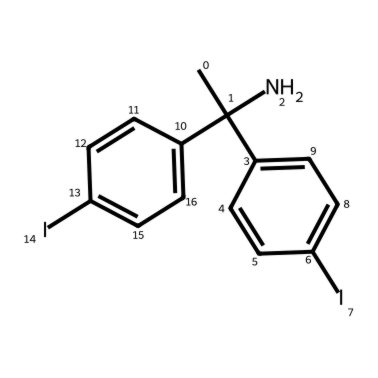 CC(N)(c1ccc(I)cc1)c1ccc(I)cc1